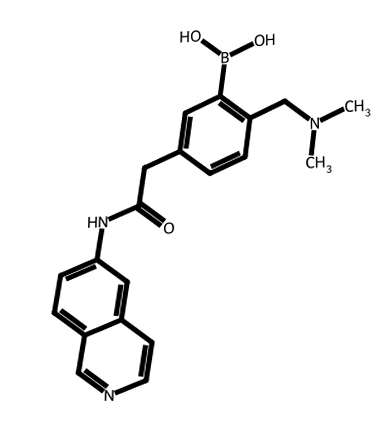 CN(C)Cc1ccc(CC(=O)Nc2ccc3cnccc3c2)cc1B(O)O